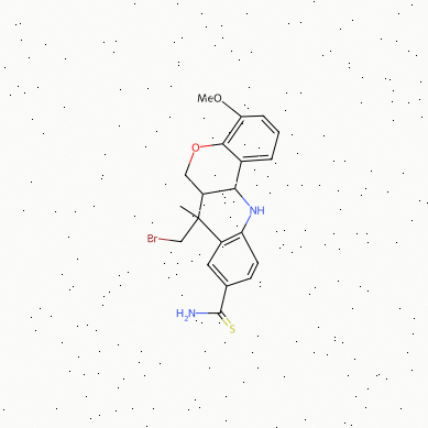 COc1cccc2c1OCC1C2Nc2ccc(C(N)=S)cc2C1(C)CBr